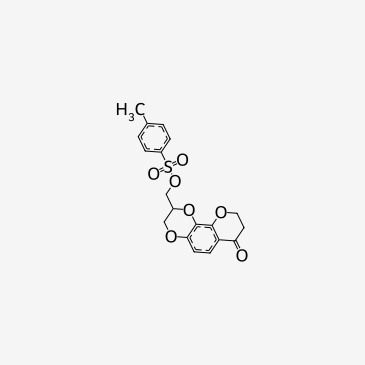 Cc1ccc(S(=O)(=O)OCC2COc3ccc4c(c3O2)OCCC4=O)cc1